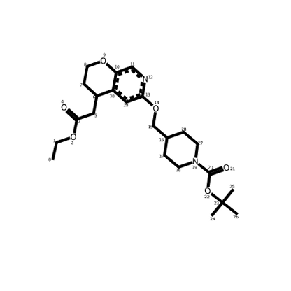 CCOC(=O)CC1CCOc2cnc(OCC3CCN(C(=O)OC(C)(C)C)CC3)cc21